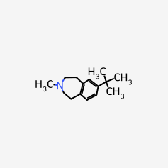 CN1CCc2ccc(C(C)(C)C)cc2CC1